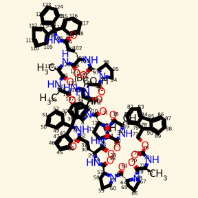 CC[C@H](C)[C@H](NC(=O)[C@@H]1CCCN1C(=O)[C@H]1CCCN1C(=O)[C@H](C)NC(=O)[C@H](C)NC(=O)[C@H](CCC(=O)NC(c1ccccc1)(c1ccccc1)c1ccccc1)NC(=O)[C@@H]1CCCN1C(=O)[C@H]1CCCN1C(=O)[C@H](C)NC(=O)OCC1c2ccccc2-c2ccccc21)C(=O)N1CCC[C@H]1C(=O)N[C@@H](CCC(=O)NC(c1ccccc1)(c1ccccc1)c1ccccc1)C(=O)N[C@@H](C)C(=O)N[C@@H](C)C(=O)N[C@@H](CC(C)C)C(=O)O